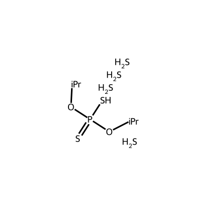 CC(C)OP(=S)(S)OC(C)C.S.S.S.S